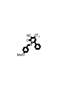 COc1ccc(C=Nn2c(-c3ccccc3)cc(C(F)(F)F)c(C#N)c2=O)cc1